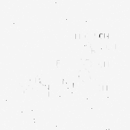 COc1cc(C(=O)N2C[C@H](F)C[C@@H](NC(=O)OC(C)(C)C)C2)cc2oc(B3OC(C)(C)C(C)(C)O3)c(C)c12